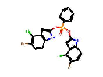 O=P(Oc1cc2c(Cl)c(Br)ccc2[nH]1)(Oc1cc2c(Cl)c(Br)ccc2[nH]1)c1ccccc1